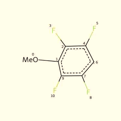 COc1c(F)c(F)[c]c(F)c1F